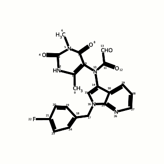 Cc1[nH]c(=O)n(C)c(=O)c1N(C(=O)C=O)c1cn(Cc2ccc(F)cc2)c2ncccc12